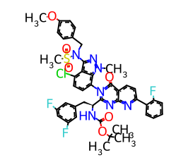 COc1ccc(CN(c2nn(C)c3c(-n4c([C@H](Cc5cc(F)cc(F)c5)NC(=O)OC(C)(C)C)nc5nc(-c6ccccc6F)ccc5c4=O)ccc(Cl)c23)S(C)(=O)=O)cc1